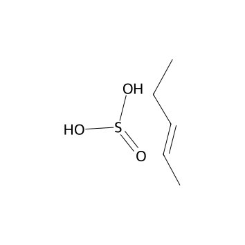 CC=CCC.O=S(O)O